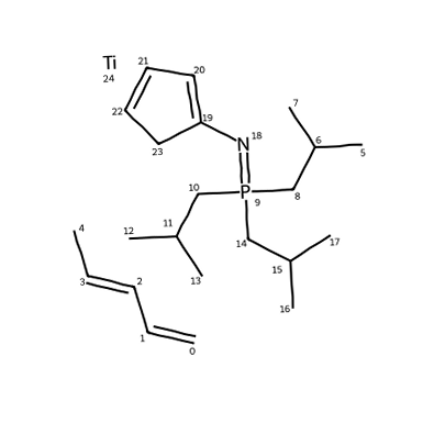 C=CC=CC.CC(C)CP(CC(C)C)(CC(C)C)=NC1=CC=CC1.[Ti]